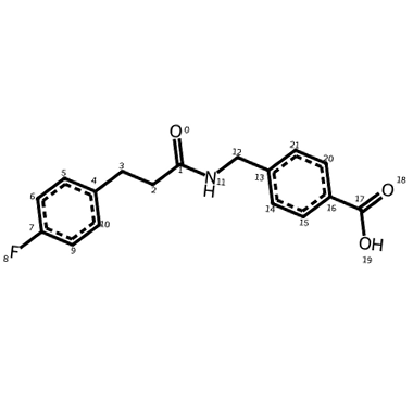 O=C(CCc1ccc(F)cc1)NCc1ccc(C(=O)O)cc1